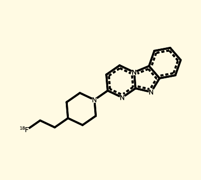 [18F]CCC1CCN(c2ccn3c(n2)nc2ccccc23)CC1